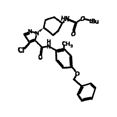 Cc1cc(OCc2ccccc2)ccc1NC(=O)c1c(Cl)cnn1[C@H]1CC[C@@H](NC(=O)OC(C)(C)C)CC1